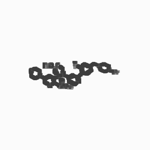 CCOC(=O)CN(c1ccnc(-c2ccc(CN3CCN(C(C)C)CC3)cc2F)c1)S(=O)(=O)c1cc(N2CCOCC2)cnc1OC